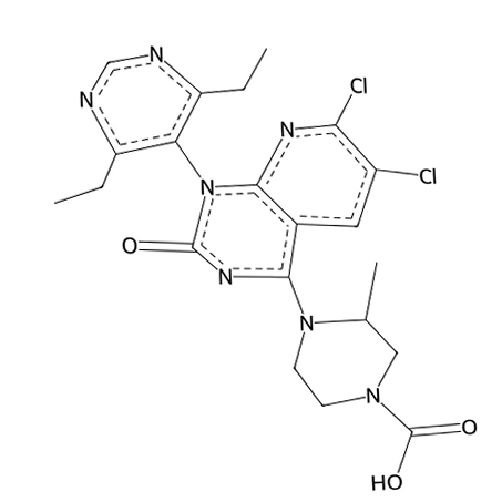 CCc1ncnc(CC)c1-n1c(=O)nc(N2CCN(C(=O)O)CC2C)c2cc(Cl)c(Cl)nc21